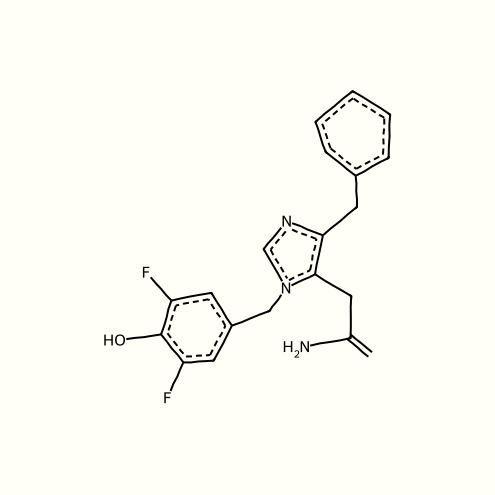 C=C(N)Cc1c(Cc2ccccc2)ncn1Cc1cc(F)c(O)c(F)c1